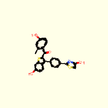 Cc1cc(O)ccc1C(=O)c1sc2cc(O)ccc2c1-c1ccc(-c2nc(O)cs2)cc1